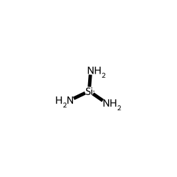 N[Si](N)N